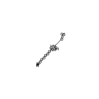 CC(C)(C)OC(=O)c1ccc(OCCCCCCCCCCN[C@@H](CCC(=O)NCCOCCOCCOCCOCCOCCOCCN=[N+]=[N-])C(=O)O)cc1